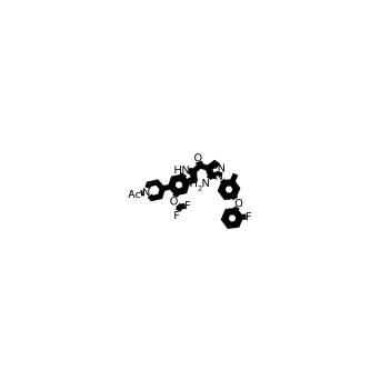 CC(=O)N1CCC(c2cc3[nH]c(C(=O)c4cnn(-c5ccc(Oc6ccccc6F)cc5C)c4N)cc3cc2OC(F)F)CC1